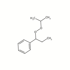 CCC(OOC(C)C)c1ccccc1